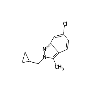 Cc1c2ccc(Cl)cc2nn1CC1CC1